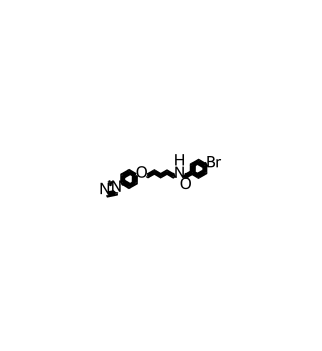 O=C(NCCCCCOc1ccc(-n2ccnc2)cc1)c1ccc(Br)cc1